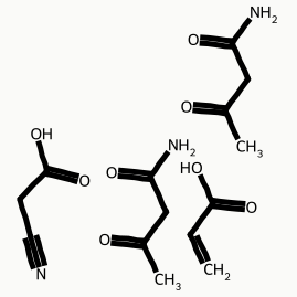 C=CC(=O)O.CC(=O)CC(N)=O.CC(=O)CC(N)=O.N#CCC(=O)O